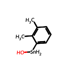 Cc1ccc[c]([SnH2][OH])c1C